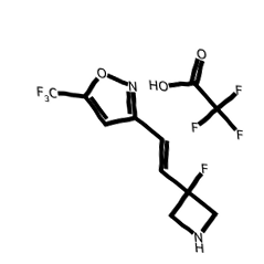 FC1(C=Cc2cc(C(F)(F)F)on2)CNC1.O=C(O)C(F)(F)F